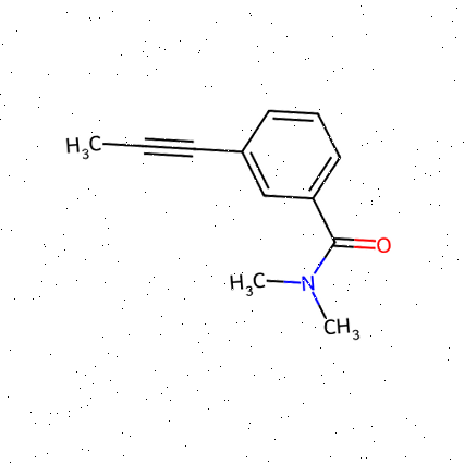 CC#Cc1cccc(C(=O)N(C)C)c1